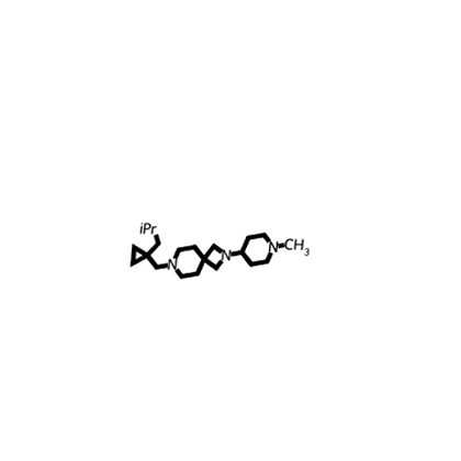 CC(C)CC1(CN2CCC3(CC2)CN(C2CCN(C)CC2)C3)CC1